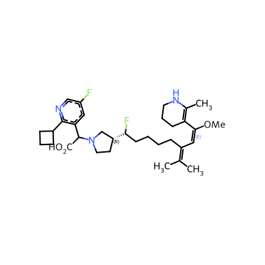 CO/C(=C/C(CCCCC(F)[C@@H]1CCN(C(C(=O)O)c2cc(F)cnc2C2CCC2)C1)=C(C)C)C1=C(C)NCCC1